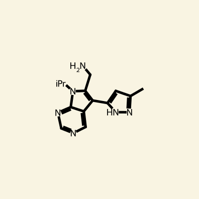 Cc1cc(-c2c(CN)n(C(C)C)c3ncncc23)[nH]n1